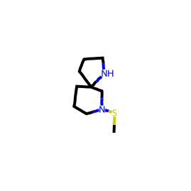 CSN1CCCC2(CCCN2)C1